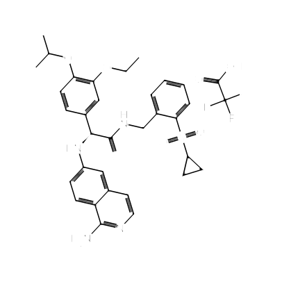 CCOc1cc([C@H](Nc2ccc3c(N)nccc3c2)C(=O)NCc2ccccc2S(=O)(=O)C2CC2)ccc1OC(C)C.O=C(O)C(F)(F)F